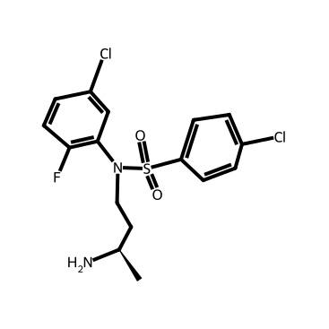 C[C@@H](N)CCN(c1cc(Cl)ccc1F)S(=O)(=O)c1ccc(Cl)cc1